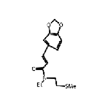 CCN(CCSC)C(=O)/C=C/c1ccc2c(c1)OCO2